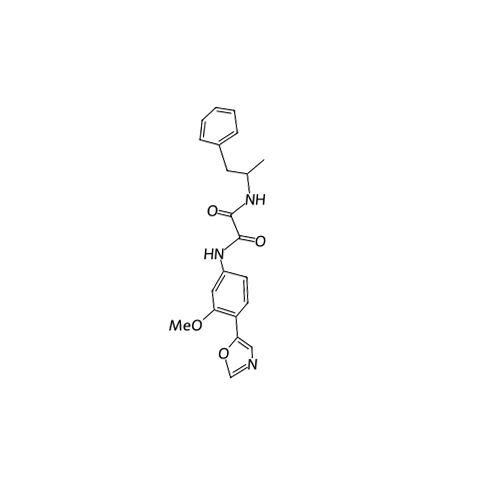 COc1cc(NC(=O)C(=O)NC(C)Cc2ccccc2)ccc1-c1cnco1